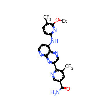 CCOc1nc(Nc2ccnc3nc(-c4ncc(C(N)=O)cc4C(F)(F)F)cnc23)ccc1C(F)(F)F